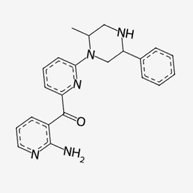 CC1CNC(c2ccccc2)CN1c1cccc(C(=O)c2cccnc2N)n1